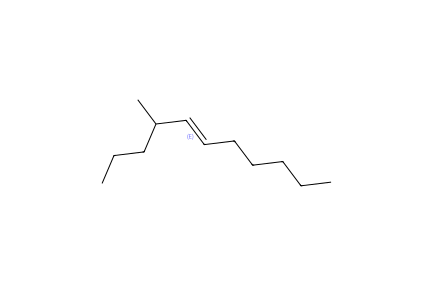 CCCCC/C=C/C(C)CCC